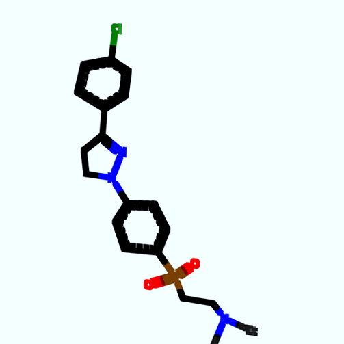 CCN(CC)CCS(=O)(=O)c1ccc(N2CCC(c3ccc(Cl)cc3)=N2)cc1